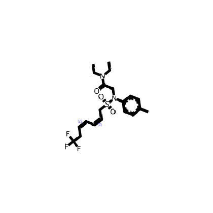 CCN(CC)C(=O)CN(c1ccc(C)cc1)S(=O)(=O)C/C=C\C=C/CC(F)(F)F